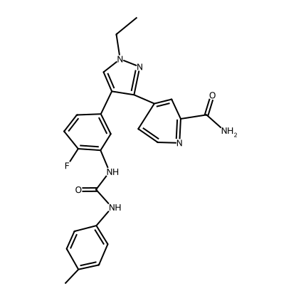 CCn1cc(-c2ccc(F)c(NC(=O)Nc3ccc(C)cc3)c2)c(-c2ccnc(C(N)=O)c2)n1